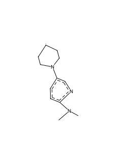 CN(C)c1ccc(N2CC[CH]CC2)cn1